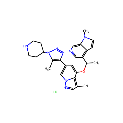 Cc1c(-c2cc(OC(C)c3cncc4c3ccn4C)c3c(C#N)cnn3c2)nnn1C1CCNCC1.Cl